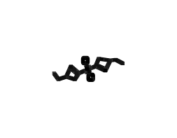 CCC1C=C(S(=O)(=O)C2=CC(CC)C2)C1